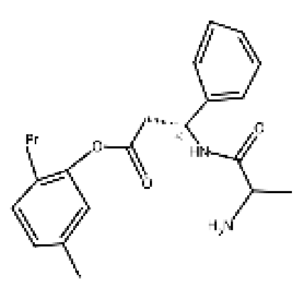 Cc1ccc(C(C)C)c(OC(=O)C[C@@H](NC(=O)C(C)N)c2ccccc2)c1